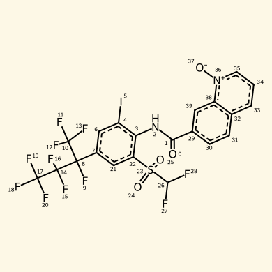 O=C(Nc1c(I)cc(C(F)(C(F)(F)F)C(F)(F)C(F)(F)F)cc1S(=O)(=O)C(F)F)c1ccc2ccc[n+]([O-])c2c1